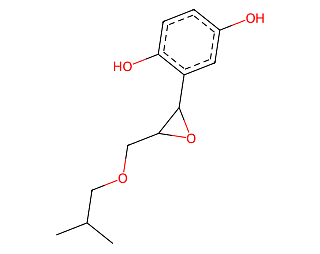 CC(C)COCC1OC1c1cc(O)ccc1O